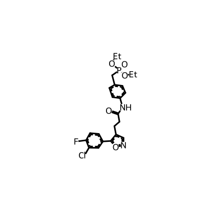 CCOP(=O)(Cc1ccc(NC(=O)CCc2cnoc2-c2ccc(F)c(Cl)c2)cc1)OCC